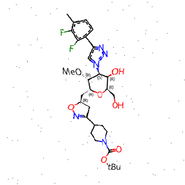 CO[C@@H]1[C@@H](n2cc(-c3ccc(C)c(F)c3F)nn2)[C@@H](O)[C@@H](CO)O[C@@H]1C[C@H]1CC(C2CCN(C(=O)OC(C)(C)C)CC2)=NO1